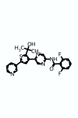 CC(C)(O)c1sc(-c2cccnc2)cc1-c1cnc(NC(=O)c2c(F)cccc2F)cn1